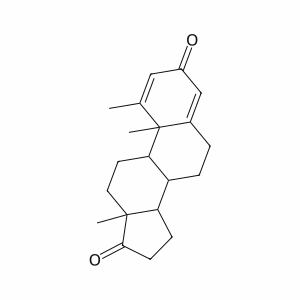 CC1=CC(=O)C=C2CCC3C4CCC(=O)C4(C)CCC3C12C